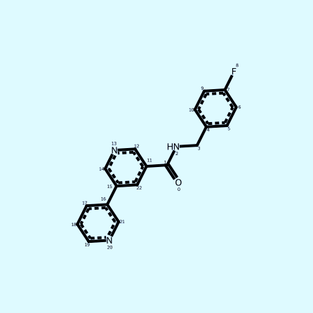 O=C(NCc1ccc(F)cc1)c1cncc(-c2cccnc2)c1